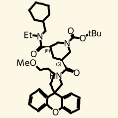 CCN(CC1CCCCC1)C(=O)[C@@H]1C[C@H](C(=O)NCC2(CCCCOC)c3ccccc3Oc3ccccc32)CN(C(=O)OC(C)(C)C)C1